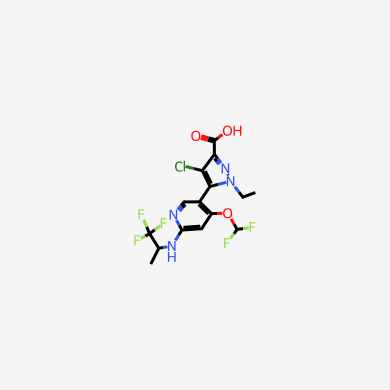 CCn1nc(C(=O)O)c(Cl)c1-c1cnc(NC(C)C(F)(F)F)cc1OC(F)F